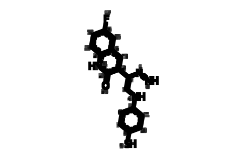 N=N/C(=C\Nc1ccc(S)cc1)c1cc2cc(F)ccc2[nH]c1=O